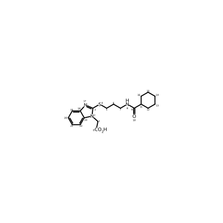 O=C(O)Cn1c(SCCCNC(=O)C2CCCCC2)nc2ccccc21